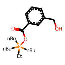 CCCCP(CC)(CCCC)(CCCC)OC(=O)c1cccc(CO)c1